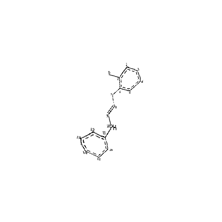 Cc1ccccc1CC=CPc1ccccc1